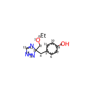 CCOCC1(Cc2ccc(O)cc2)N=CN=N1